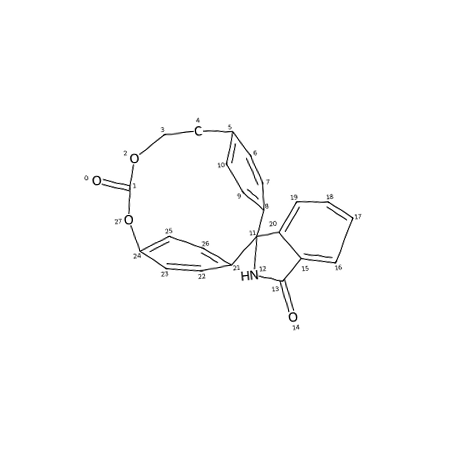 O=C1OCCc2ccc(cc2)C2(NC(=O)c3ccccc32)c2ccc(cc2)O1